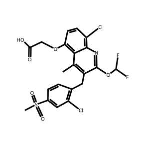 Cc1c(Cc2ccc(S(C)(=O)=O)cc2Cl)c(OC(F)F)nc2c(Cl)ccc(OCC(=O)O)c12